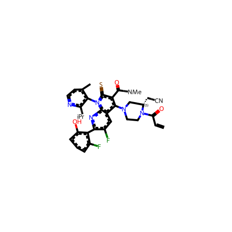 C=CC(=O)N1CCN(c2c(C(=O)NC)c(=S)n(-c3c(C)ccnc3C(C)C)c3nc(-c4c(O)cccc4F)c(F)cc23)C[C@@H]1CC#N